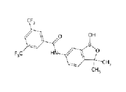 CC1(C)OB(O)c2cc(NC(=O)c3cc(C(F)(F)F)cc(C(F)(F)F)c3)ccc21